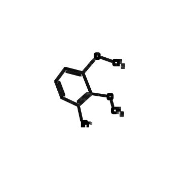 C[C](C)c1cccc(OC(F)(F)F)c1OC(F)(F)F